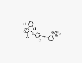 NS(=O)(=O)c1cccc(C#Cc2ccc(OCc3c(-c4c(Cl)cccc4Cl)noc3C3CC3)cc2Cl)c1